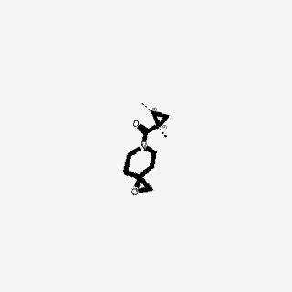 C[C@@H]1C[C@@]1(C)C(=O)N1CCC2(CC1)CO2